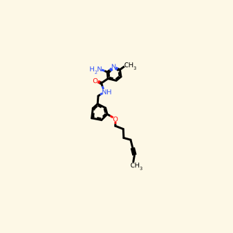 CC#CCCCCOc1cccc(CNC(=O)c2ccc(C)nc2N)c1